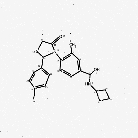 Cc1cc(C(O)NC2CCC2)ccc1N1C(=O)CSC1c1ccc(F)cc1